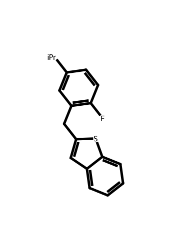 CC(C)c1ccc(F)c(Cc2cc3ccccc3s2)c1